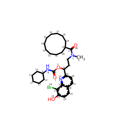 CN(CCC(OC(=O)NC1CCCCC1)c1ccc2ccc(O)c(Br)c2n1)C(=O)C1CCCCCCCCCC1